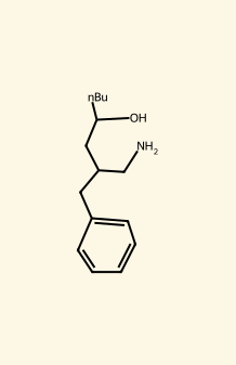 CCCCC(O)CC(CN)Cc1ccccc1